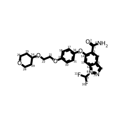 NC(=O)c1cc2cnn(C(F)F)c2cc1Oc1ccc(OCCOC2CCOCC2)cc1